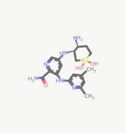 Cc1cc(C)nc(Nc2cc(N[C@@H]3CS(O)(O)CC[C@@H]3N)cnc2C(N)=O)c1